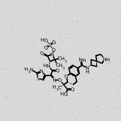 CC1(C)[C@H](NC(=O)/C(=N\O[C@](C)(C(=O)O)[C@H]2CCc3cc(C(=N)N[C@H]4C[C@]5(CCNC5)C4)ccc3O2)c2csc(N)n2)C(=O)N1OS(=O)(=O)O